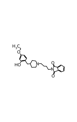 CCOc1ccc(CC2CCN(CCCCN3C(=O)c4ccccc4C3=O)CC2)c(O)c1